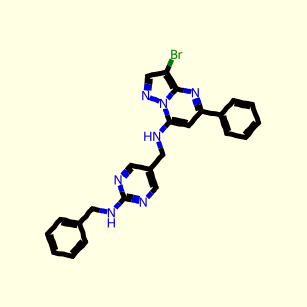 Brc1cnn2c(NCc3cnc(NCc4ccccc4)nc3)cc(-c3ccccc3)nc12